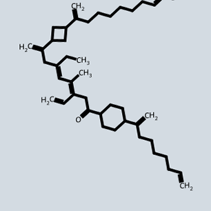 C=CCCCCCCC(=C)C1CC(C(=C)C/C(=C/C(C)=C(\C=C)CC(=O)C2CCC(C(=C)CCCCCC=C)CC2)CC)C1